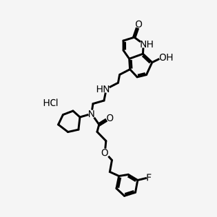 Cl.O=C(CCOCCc1cccc(F)c1)N(CCNCCc1ccc(O)c2[nH]c(=O)ccc12)C1CCCCC1